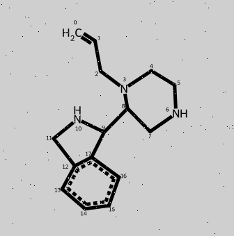 C=CCN1CCNCC1C1NCc2ccccc21